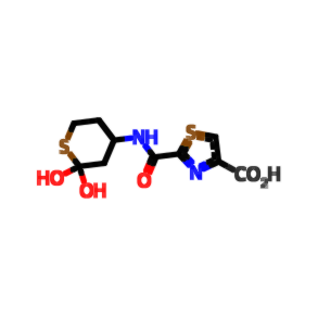 O=C(O)c1csc(C(=O)NC2CCSC(O)(O)C2)n1